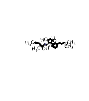 CC#CC[C@@H](C)[C@H](O)/C=C/[C@@H]1[C@H]2c3cccc(CCCN(C)C)c3O[C@H]2C[C@H]1O